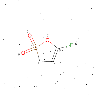 O=S1(=O)CC=C(F)O1